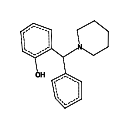 Oc1ccccc1C(c1ccccc1)N1CCCCC1